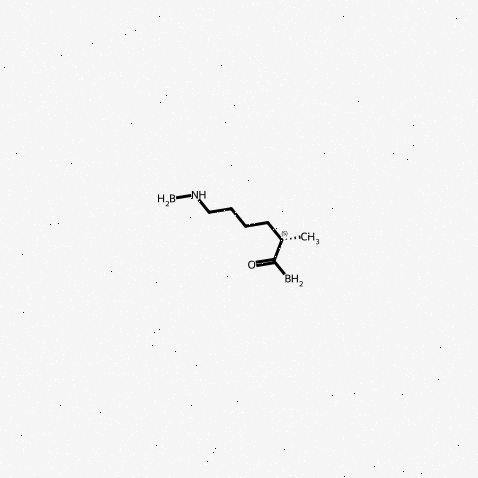 BNCCCC[C@H](C)C(B)=O